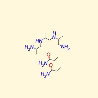 CC(N)CNC(C)CNC(C)CN.CCC(N)=O.CCC(N)=O